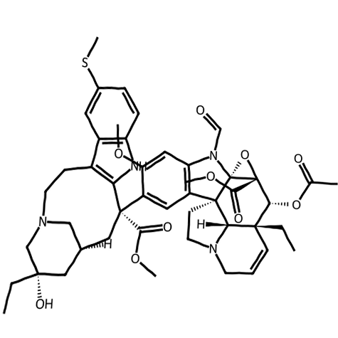 CC[C@]1(O)C[C@H]2CN(CCc3c([nH]c4ccc(SC)cc34)[C@@](C(=O)OC)(c3cc4c(cc3OC)N(C=O)[C@@]35O[C@]3(C(=O)OC)[C@H](OC(C)=O)[C@]3(CC)C=CCN6CC[C@]45[C@@H]63)C2)C1